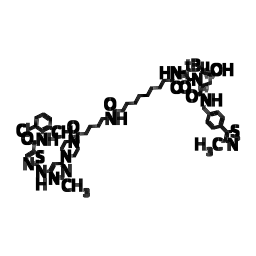 Cc1nc(Nc2ncc(C(=O)Nc3c(C)cccc3Cl)s2)cc(N2CCN(C(=O)CCCCNC(=O)CCCCCCCCC(=O)N[C@H](C(=O)N3C[C@H](O)C[C@H]3C(=O)NCc3ccc(-c4scnc4C)cc3)C(C)(C)C)CC2)n1